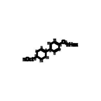 CCCCCCCCC1CC=C(c2ccc(OCCCCCC)cc2)CC1